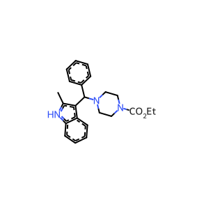 CCOC(=O)N1CCN(C(c2ccccc2)c2c(C)[nH]c3ccccc23)CC1